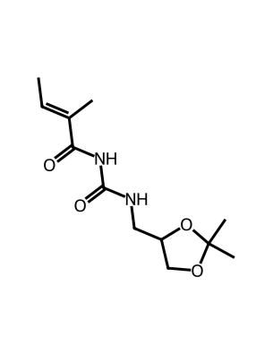 C/C=C(\C)C(=O)NC(=O)NCC1COC(C)(C)O1